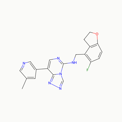 Cc1cncc(-c2cnc(NCc3c(F)ccc4c3CCO4)n3cnnc23)c1